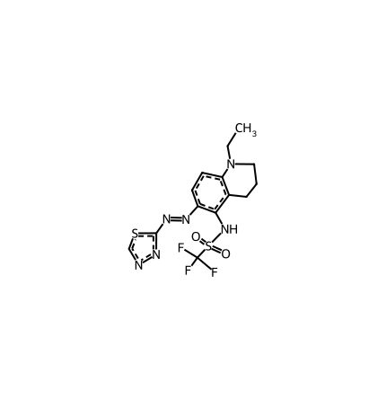 CCN1CCCc2c1ccc(N=Nc1nncs1)c2NS(=O)(=O)C(F)(F)F